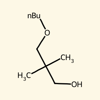 CCCCOCC(C)(C)CO